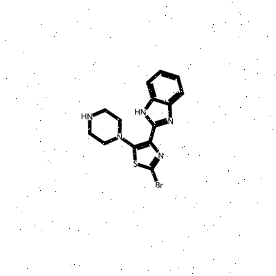 Brc1nc(-c2nc3ccccc3[nH]2)c(N2CCNCC2)s1